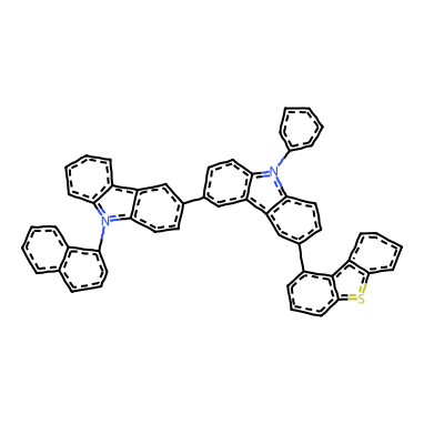 c1ccc(-n2c3ccc(-c4ccc5c(c4)c4ccccc4n5-c4cccc5ccccc45)cc3c3cc(-c4cccc5sc6ccccc6c45)ccc32)cc1